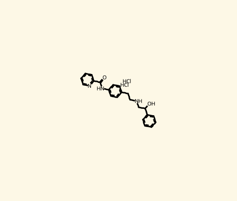 Cl.Cl.O=C(Nc1ccc(CCNCC(O)c2ccccc2)cc1)c1ccccn1